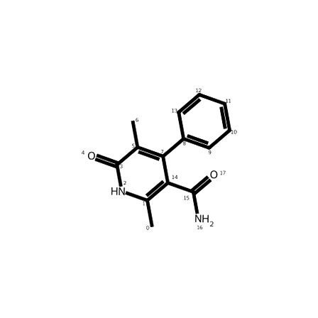 Cc1[nH]c(=O)c(C)c(-c2ccccc2)c1C(N)=O